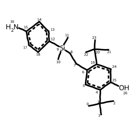 CC(C)(C)c1cc(CC[Si](C)(C)c2ccc(N)cc2)c(C(C)(C)C)cc1O